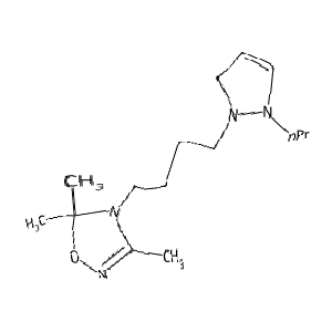 CCCN1C=CCN1CCCCN1C(C)=NOC1(C)C